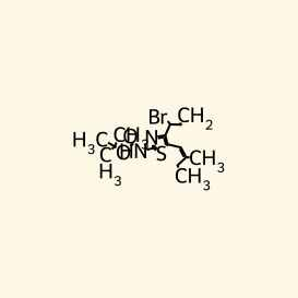 C=CC(Br)c1nc(NC(=O)OC(C)(C)C)sc1/C=C(/C)CC